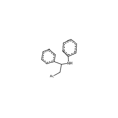 CC(=O)CC(Nc1ccccc1)c1ccccc1